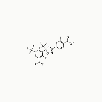 COC(=O)c1ccc(C2=NOC(c3cc(C(F)(F)F)cc(C(F)F)c3F)(C(F)(F)F)C2)cc1C